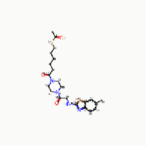 CC(=O)SCCCCCC(=O)N1CCN(C(=O)CNc2nc3ccc(C)cc3s2)CC1